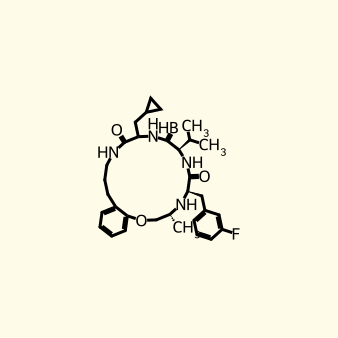 B=C1NC(CC2CC2)C(=O)NCCCc2ccccc2OC[C@@H](C)N[C@H](Cc2cccc(F)c2)C(=O)N[C@@H]1C(C)C